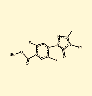 Cc1nn(-c2cc(F)c(C(=O)OC(C)(C)C)cc2F)c(=O)n1C(C)C